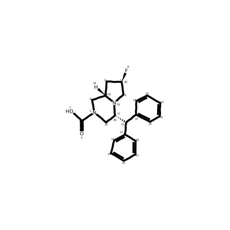 O=C(O)N1C[C@@H]2C[C@@H](F)CN2[C@H](C(c2ccccc2)c2ccccc2)C1